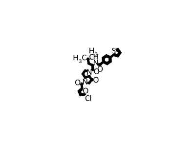 CC(C)CC(NC(=O)c1ccc(-c2cccs2)cc1)C(=O)N1CCC2C1C(=O)CN2C(=O)c1ccc(Cl)o1